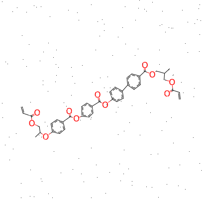 C=CC(=O)OCC(C)COC(=O)c1ccc(-c2ccc(OC(=O)c3ccc(OC(=O)c4ccc(OC(C)COC(=O)C=C)cc4)cc3)cc2)cc1